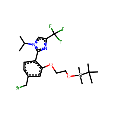 CC(C)n1cc(C(F)(F)F)nc1-c1ccc(CBr)cc1OCCO[Si](C)(C)C(C)(C)C